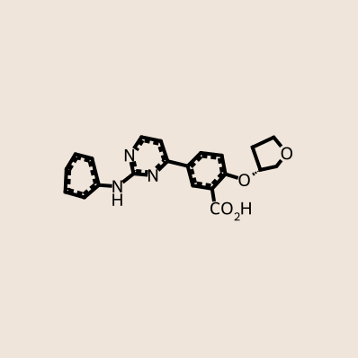 O=C(O)c1cc(-c2ccnc(Nc3ccccc3)n2)ccc1O[C@@H]1CCOC1